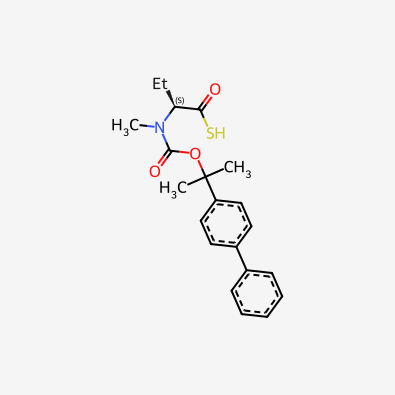 CC[C@@H](C(=O)S)N(C)C(=O)OC(C)(C)c1ccc(-c2ccccc2)cc1